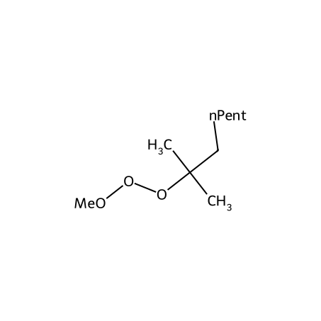 CCCCCCC(C)(C)OOOC